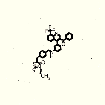 C=CCN1C(=O)/C(=C\c2ccc(CNc3cccc(-c4c(C(=O)c5ccccc5)cnc5c(C(F)(F)F)cccc45)c3)cc2)SC1=S